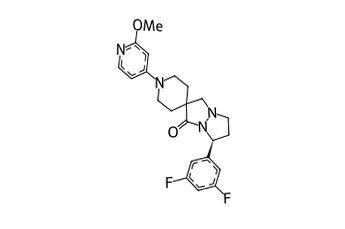 COc1cc(N2CCC3(CC2)CN2CC[C@@H](c4cc(F)cc(F)c4)N2C3=O)ccn1